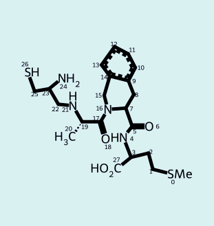 CSCCC(NC(=O)C1Cc2ccccc2CN1C(=O)[C@H](C)NCC(N)CS)C(=O)O